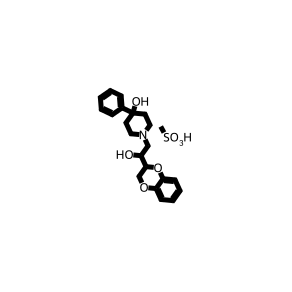 CS(=O)(=O)O.OC(CN1CCC(O)(c2ccccc2)CC1)C1COc2ccccc2O1